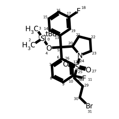 CC(C)(C)[Si](C)(C)OC(c1cccc(F)c1)(c1cccc(F)c1)C1CCCN1S(=O)(=O)CCCBr